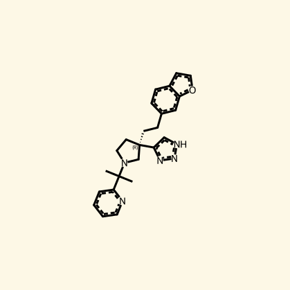 CC(C)(c1ccccn1)N1CC[C@@](CCc2ccc3ccoc3c2)(c2c[nH]nn2)C1